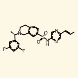 C/C=C/c1cnc(NS(=O)(=O)c2ccc3c(c2)CN([C@H](C)c2cc(F)cc(F)c2)CC3)cn1